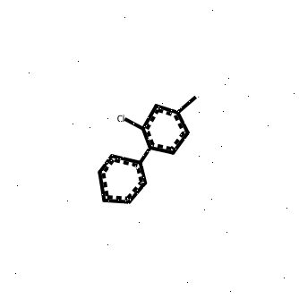 [CH2]c1ccc(-c2ccccc2)c(Cl)c1